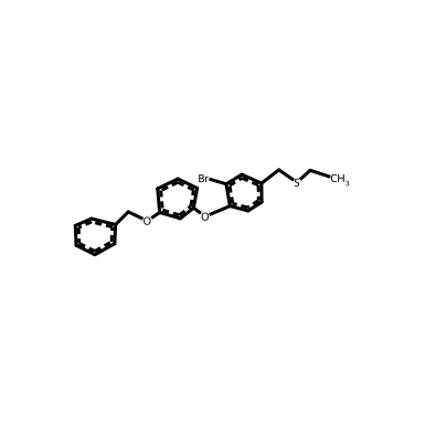 CCSCc1ccc(Oc2cccc(OCc3ccccc3)c2)c(Br)c1